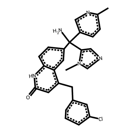 Cc1ccc(C(N)(c2ccc3[nH]c(=O)cc(Cc4cccc(Cl)c4)c3c2)c2cncn2C)cn1